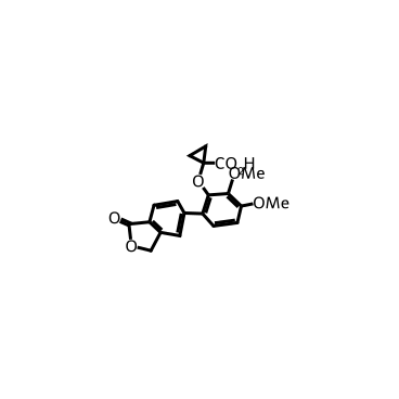 COc1ccc(-c2ccc3c(c2)COC3=O)c(OC2(C(=O)O)CC2)c1OC